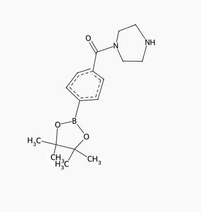 CC1(C)OB(c2ccc(C(=O)N3CCNCC3)cc2)OC1(C)C